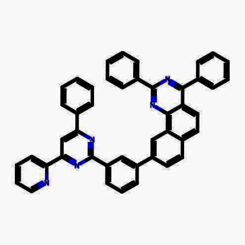 c1ccc(-c2cc(-c3ccccn3)nc(-c3cccc(-c4ccc5ccc6c(-c7ccccc7)nc(-c7ccccc7)nc6c5c4)c3)n2)cc1